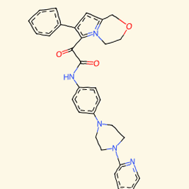 O=C(Nc1ccc(N2CCN(c3ccccn3)CC2)cc1)C(=O)c1c(-c2ccccc2)cc2n1CCOC2